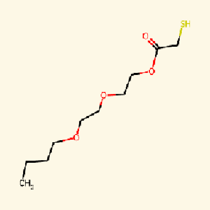 CCCCOCCOCCOC(=O)CS